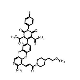 COCCN1CCN(C(=O)C=Cc2c(Oc3ccc(-c4c(C(N)=O)c(=O)n(-c5ccc(F)cc5)c(=O)n4C(C)C)cc3F)ccnc2N)CC1